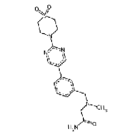 CN(CC(N)=O)Cc1cccc(-c2cnc(N3CCS(=O)(=O)CC3)nc2)c1